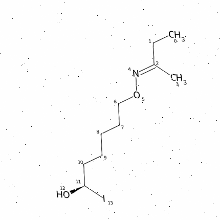 CC/C(C)=N/OCCCCC[C@H](O)I